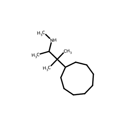 CNC(C)C(C)(C)C1CCCCCCCC1